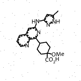 COC1(C(=O)O)CCC(c2nc(Nc3cc(C)[nH]n3)cc3cccnc23)CC1